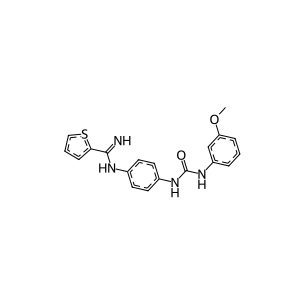 COc1cccc(NC(=O)Nc2ccc(NC(=N)c3cccs3)cc2)c1